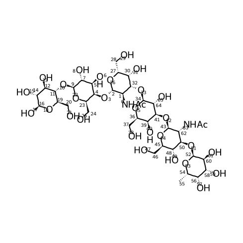 CC(=O)N[C@H]1[C@H](O[C@@H]2[C@H](O)[C@@H](O)[C@H](O[C@H]3[C@H](O)[C@@H](O)[C@H](O)O[C@@H]3CO)O[C@@H]2CO)O[C@H](CO)[C@H](O)[C@@H]1O[C@@H]1O[C@H](CO)[C@H](O)[C@H](O[C@@H]2O[C@H](CO)[C@@H](O)[C@H](O[C@@H]3O[C@@H](C)[C@@H](O)[C@@H](O)[C@@H]3O)[C@H]2NC(C)=O)[C@H]1O